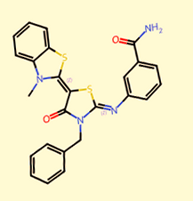 CN1/C(=C2/S/C(=N\c3cccc(C(N)=O)c3)N(Cc3ccccc3)C2=O)Sc2ccccc21